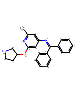 FC(F)(F)c1cc(N=C(c2ccccc2)c2ccccc2)cc(O[C@H]2CCNC2)n1